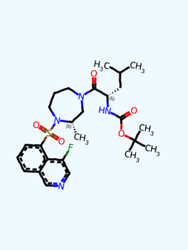 CC(C)C[C@H](NC(=O)OC(C)(C)C)C(=O)N1CCCN(S(=O)(=O)c2cccc3cncc(F)c23)[C@@H](C)C1